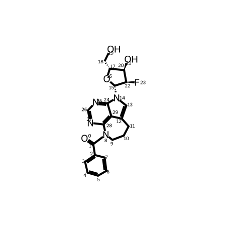 O=C(c1ccccc1)N1CCCc2cn([C@@H]3O[C@H](CO)[C@@H](O)[C@H]3F)c3ncnc1c23